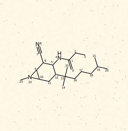 C=C(CC)NC1C(C#N)C2C(CC1C(C)(C)CCCC(C)C)N2C